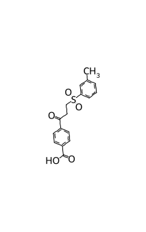 Cc1cccc(S(=O)(=O)CCC(=O)c2ccc(C(=O)O)cc2)c1